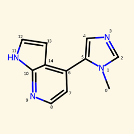 Cn1cncc1-c1ccnc2[nH]ccc12